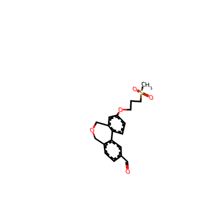 CS(=O)(=O)CCCOc1ccc2c(c1)COCc1ccc(C=O)cc1-2